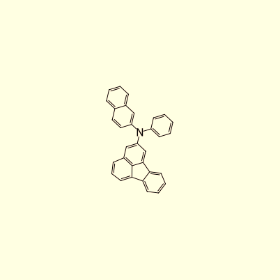 c1ccc(N(c2ccc3ccccc3c2)c2cc3c4c(cccc4c2)-c2ccccc2-3)cc1